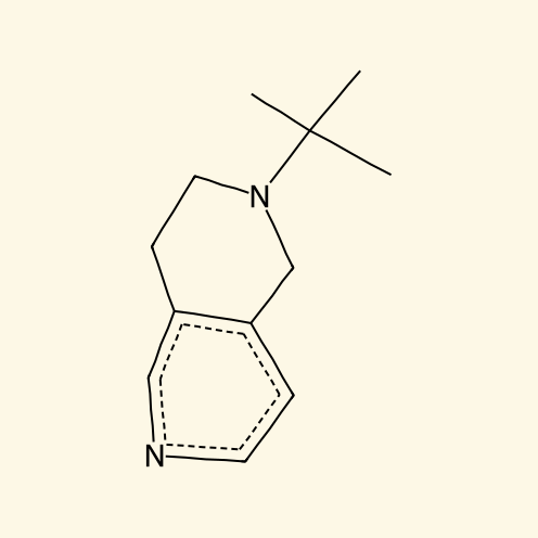 CC(C)(C)N1CCc2cnccc2C1